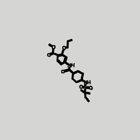 CCCOc1cc(NC(=O)C2CCC(NS(=O)(=O)C(C)(C)CC)CC2)ccc1C(=O)OC